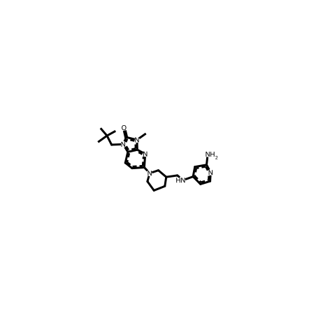 Cn1c(=O)n(CC(C)(C)C)c2ccc(N3CCCC(CNc4ccnc(N)c4)C3)nc21